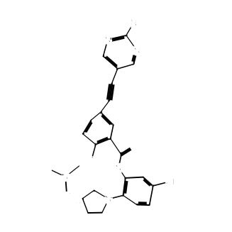 CN(C)C[C@H]1CCN(c2ccc(C(F)(F)F)cc2NC(=O)c2cc(C#Cc3cnc(N)nc3)ccc2F)C1